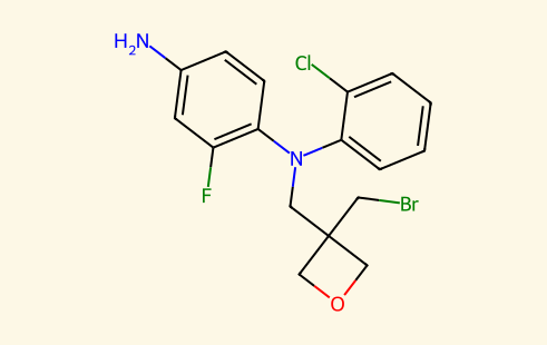 Nc1ccc(N(CC2(CBr)COC2)c2ccccc2Cl)c(F)c1